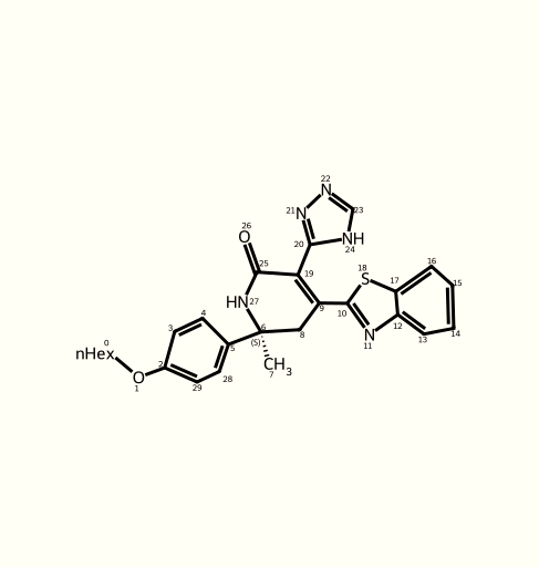 CCCCCCOc1ccc([C@]2(C)CC(c3nc4ccccc4s3)=C(c3nnc[nH]3)C(=O)N2)cc1